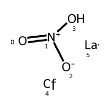 O=[N+]([O-])O.[Cf].[La]